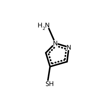 Nn1cc(S)cn1